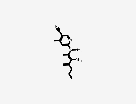 C=C(CCC)/C(N)=C(\C)N(N)c1cc(C)c(C#N)cn1